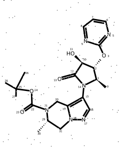 C[C@@H]1[C@@H](Oc2ncccn2)[C@H](O)C(=O)N1c1cnn2c1CN(C(=O)OC(C)(C)C)[C@@H](C)C2